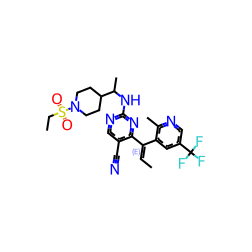 C/C=C(\c1cc(C(F)(F)F)cnc1C)c1nc(NC(C)C2CCN(S(=O)(=O)CC)CC2)ncc1C#N